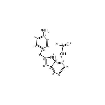 CC(=O)O.Nc1ccc(Cc2cc3ccccc3[nH]2)cc1